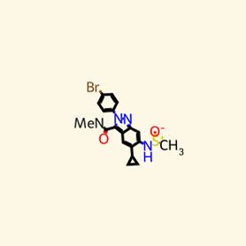 CNC(=O)c1c2cc(C3CC3)c(N[S+](C)[O-])cc2nn1-c1ccc(Br)cc1